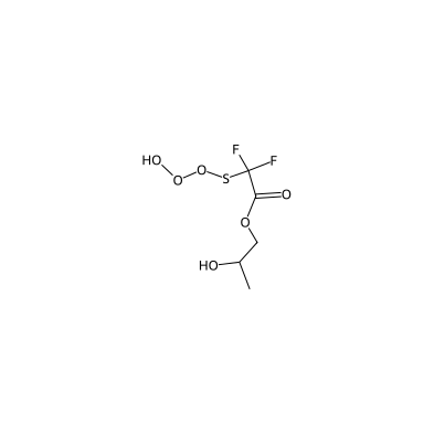 CC(O)COC(=O)C(F)(F)SOOO